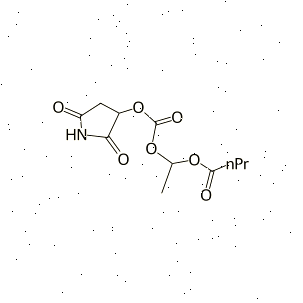 CCCC(=O)OC(C)OC(=O)OC1CC(=O)NC1=O